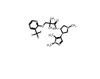 Cc1c([C@@H]2CN(C)C[C@H]2NC(=O)C(C)(C)COc2ncccc2C(F)(F)F)cnn1C